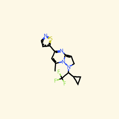 CC1=CC(c2ccns2)=NC2=CCN(C(C3CC3)C(F)(F)F)N12